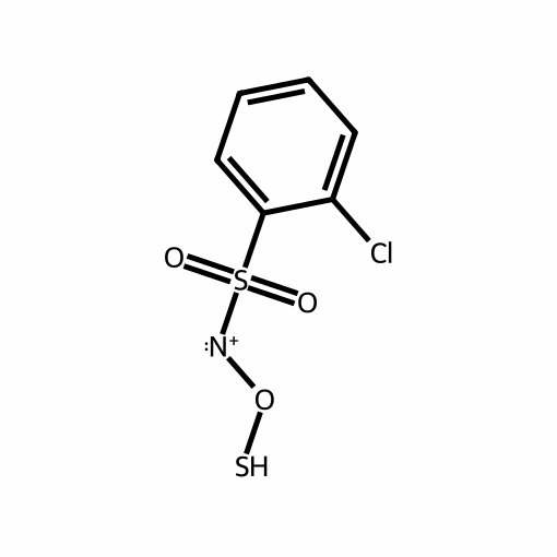 O=S(=O)([N+]OS)c1ccccc1Cl